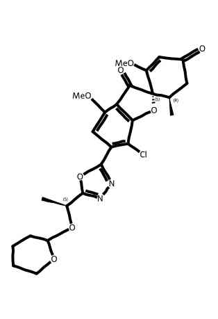 COC1=CC(=O)C[C@@H](C)[C@]12Oc1c(Cl)c(-c3nnc([C@H](C)OC4CCCCO4)o3)cc(OC)c1C2=O